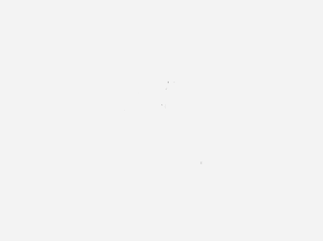 COC1c2ccc(Br)cc2CN1C(=O)O